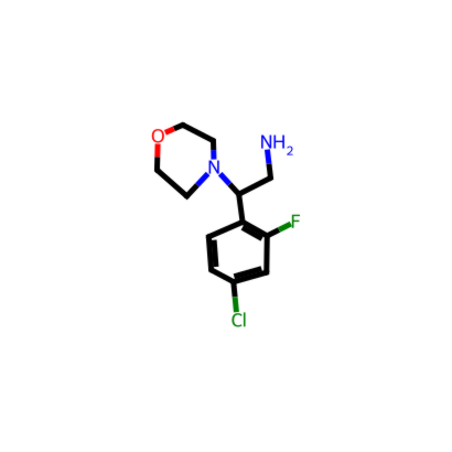 NCC(c1ccc(Cl)cc1F)N1CCOCC1